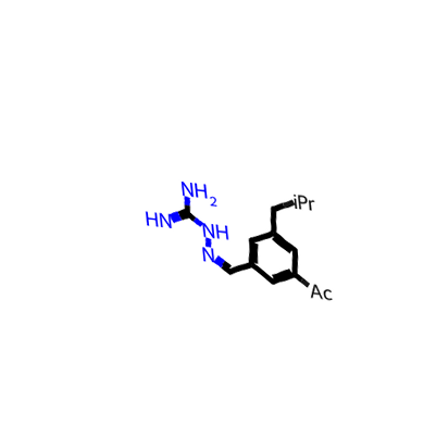 CC(=O)c1cc(/C=N\NC(=N)N)cc(CC(C)C)c1